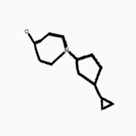 [O]C1CCN(C2CCC(C3CC3)C2)CC1